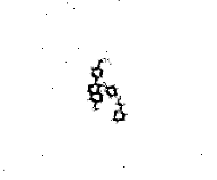 CCc1ccc(-c2ccc3cc(O)ccc3c2Oc2ccc(OCCN3CCCCC3)cc2)cc1